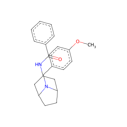 COc1ccc(CN2C3CCC2CC(NC(=O)c2ccccc2)C3)cc1